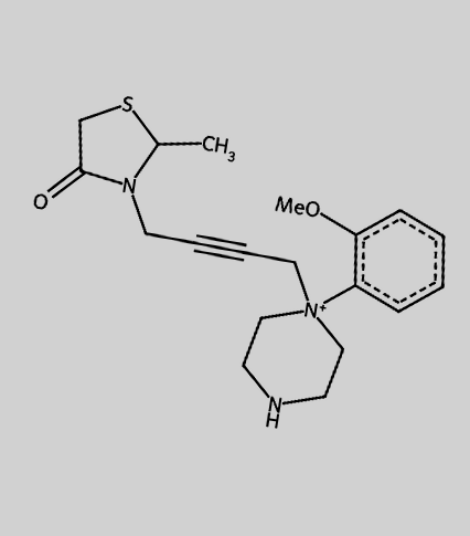 COc1ccccc1[N+]1(CC#CCN2C(=O)CSC2C)CCNCC1